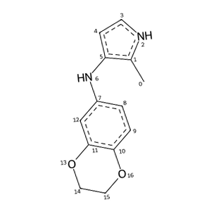 Cc1[nH]ccc1Nc1ccc2c(c1)OCCO2